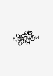 O=C1CC(N2CCCCC2)C(=O)c2c(CNC3CCCNC3c3ccccc3)c(O)cc1c2OC(F)(F)F